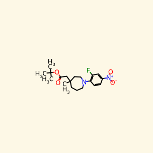 CC1(CC(=O)OC(C)(C)C)CCCN(c2ccc([N+](=O)[O-])cc2F)CC1